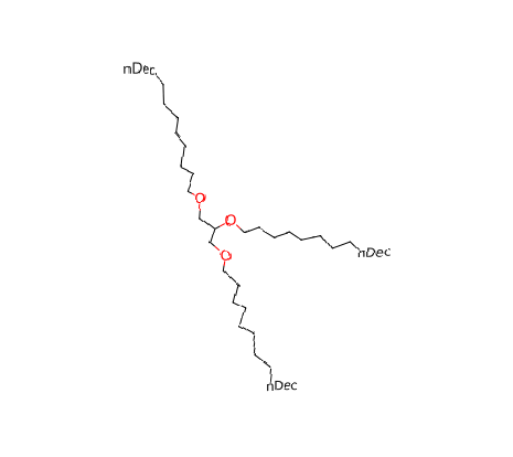 CCCCCCCCCCCCCCCCCCOCC(COCCCCCCCCCCCCCCCCCC)OCCCCCCCCCCCCCCCCCC